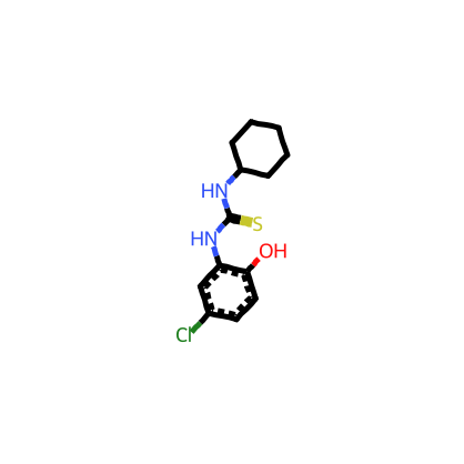 Oc1ccc(Cl)cc1NC(=S)NC1CCCCC1